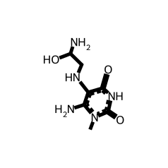 Cn1c(N)c(NCC(N)O)c(=O)[nH]c1=O